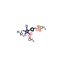 CCOC(=O)c1c(-c2ccc(COS(C)(=O)=O)cc2)c(C#N)c(CC)n1C